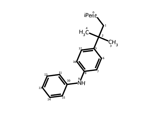 CCCC(C)CC(C)(C)c1ccc(Nc2ccccc2)cc1